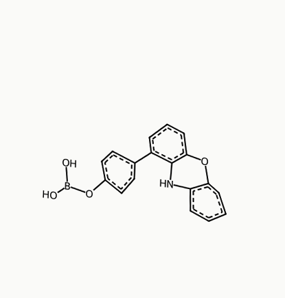 OB(O)Oc1ccc(-c2cccc3c2Nc2ccccc2O3)cc1